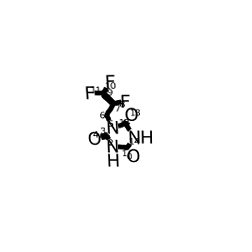 O=c1[nH]c(=O)n(CC(F)=C(F)F)c(=O)[nH]1